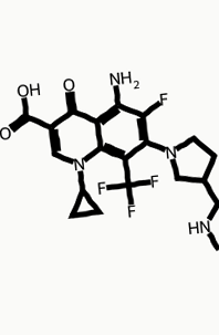 CNCC1CCN(c2c(F)c(N)c3c(=O)c(C(=O)O)cn(C4CC4)c3c2C(F)(F)F)C1